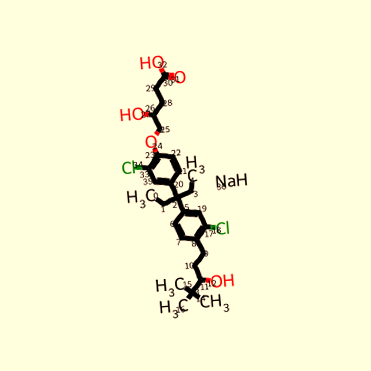 CCC(CC)(c1ccc(CCC(O)C(C)(C)C)c(Cl)c1)c1ccc(OCC(O)CCC(=O)O)c(Cl)c1.[NaH]